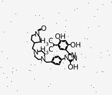 CC(C)c1cc(-c2nnc(O)n2-c2ccc(CN3CCN(CC4CCN(C=O)CC4)CC3)cc2)c(O)cc1O